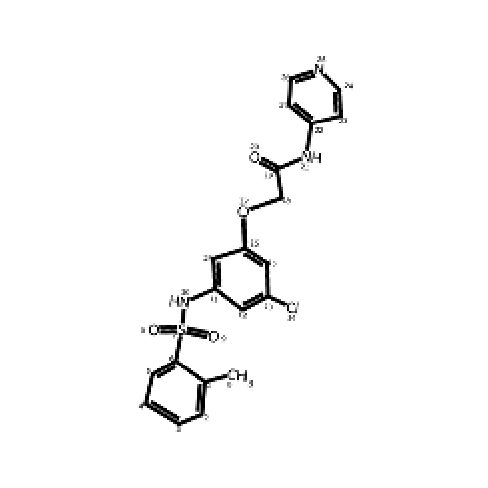 Cc1ccccc1S(=O)(=O)Nc1cc(Cl)cc(OCC(=O)Nc2ccncc2)c1